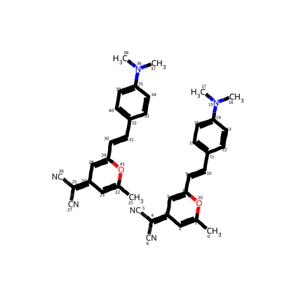 CC1=CC(=C(C#N)C#N)C=C(C=Cc2ccc(N(C)C)cc2)O1.CC1=CC(=C(C#N)C#N)C=C(C=Cc2ccc(N(C)C)cc2)O1